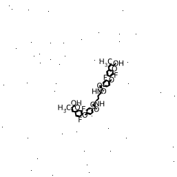 CC(=Cc1cc(F)c(Oc2ccc(S(=O)(=O)NCCCCNS(=O)(=O)c3ccc(Oc4c(F)cc(C=C(C)C(=O)O)cc4F)cc3)cc2)c(F)c1)C(=O)O